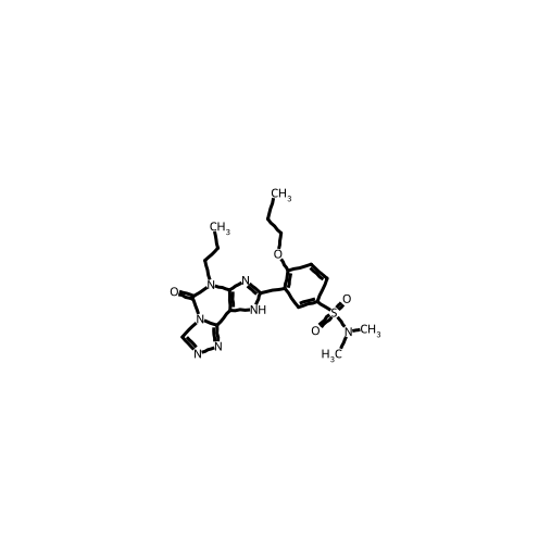 CCCOc1ccc(S(=O)(=O)N(C)C)cc1-c1nc2c([nH]1)c1nncn1c(=O)n2CCC